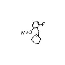 COc1cccc(F)c1CN1CCCCC1